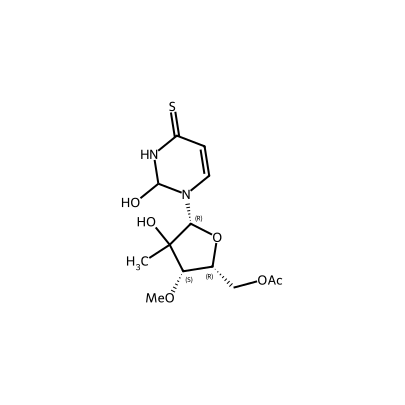 CO[C@H]1[C@@H](COC(C)=O)O[C@@H](N2C=CC(=S)NC2O)C1(C)O